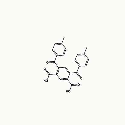 Cc1ccc(C(=O)c2cc(C(=O)c3ccc(C)cc3)c(C(=O)O)cc2C(=O)O)cc1